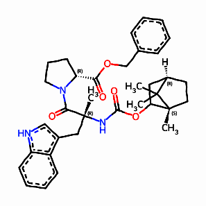 CC1(C)[C@@H]2CC[C@]1(C)C(OC(=O)N[C@](C)(Cc1c[nH]c3ccccc13)C(=O)N1CCC[C@@H]1C(=O)OCc1ccccc1)C2